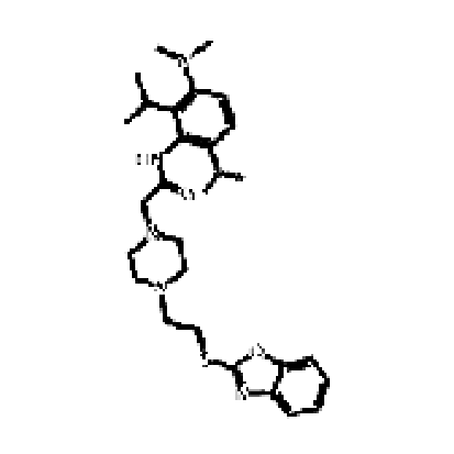 CC(C)c1ccc(N(C)C)c(C(C)C)c1NC(=O)CN1CCN(CCSc2nc3ccccc3o2)CC1